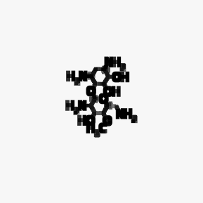 COC1C(O)C(N)[C@@H](OC2C(O)C(O)[C@H](N)C[C@@H]2N)O[C@@H]1CN